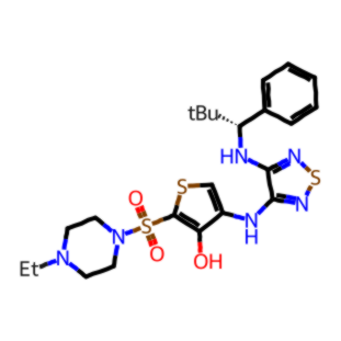 CCN1CCN(S(=O)(=O)c2scc(Nc3nsnc3N[C@@H](c3ccccc3)C(C)(C)C)c2O)CC1